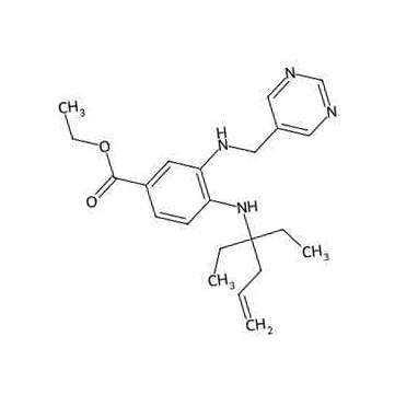 C=CCC(CC)(CC)Nc1ccc(C(=O)OCC)cc1NCc1cncnc1